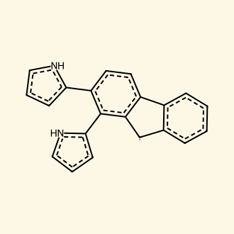 [CH]1c2ccccc2-c2ccc(-c3ccc[nH]3)c(-c3ccc[nH]3)c21